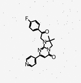 CC1(C)Cn2c(nc(-c3ccncc3)cc2=O)N1CC(=O)c1ccc(F)cc1